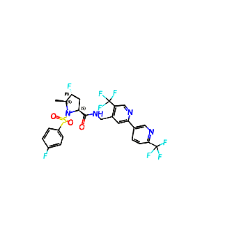 C[C@H]1[C@H](F)C[C@@H](C(=O)NCc2cc(-c3ccc(C(F)(F)F)nc3)ncc2C(F)(F)F)N1S(=O)(=O)c1ccc(F)cc1